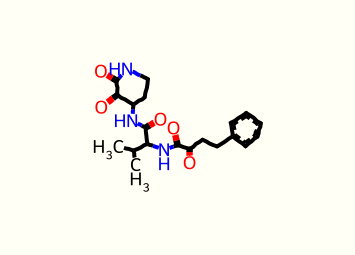 CC(C)C(NC(=O)C(=O)CCc1ccccc1)C(=O)NC1CCNC(=O)C1=O